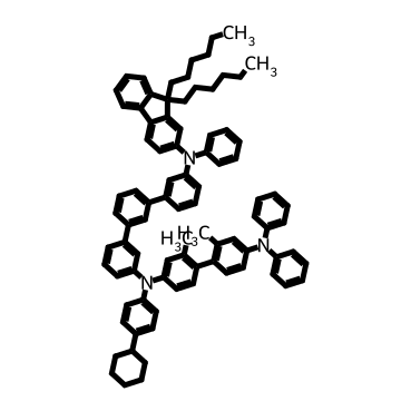 CCCCCCC1(CCCCCC)c2ccccc2-c2ccc(N(c3ccccc3)c3cccc(-c4cccc(-c5cccc(N(c6ccc(C7CCCCC7)cc6)c6ccc(-c7ccc(N(c8ccccc8)c8ccccc8)cc7C)c(C)c6)c5)c4)c3)cc21